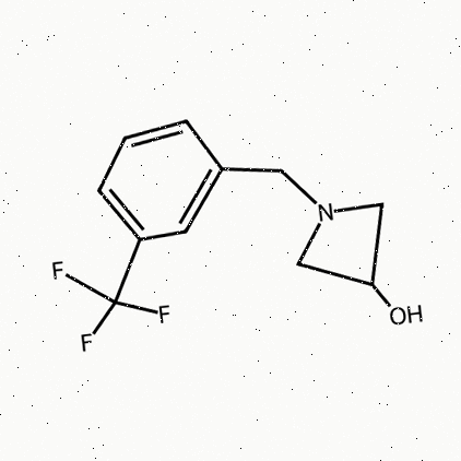 OC1CN(Cc2cccc(C(F)(F)F)c2)C1